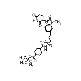 Cn1c(=O)n(C2CCC(=O)NC2=O)c2ccc(CCCS(=O)(=O)NC(=O)C3CCN(C(=O)OC(C)(C)C)CC3)cc21